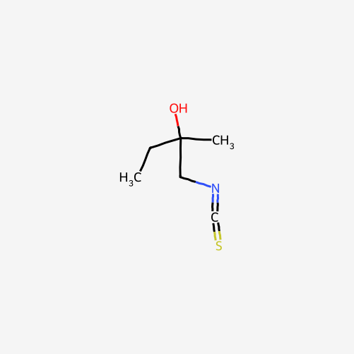 CCC(C)(O)CN=C=S